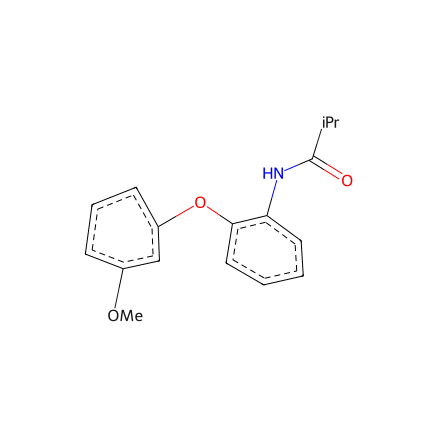 COc1cccc(Oc2ccccc2NC(=O)C(C)C)c1